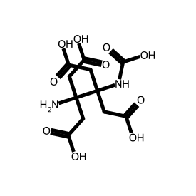 NC(CC(=O)O)(CC(=O)O)C(CC(=O)O)(CC(=O)O)NC(=O)O